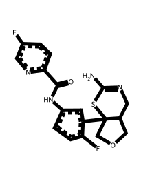 NC1=NCC2COCC2(c2cc(NC(=O)c3ccc(F)cn3)ccc2F)S1